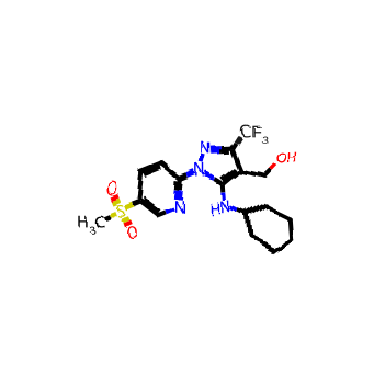 CS(=O)(=O)c1ccc(-n2nc(C(F)(F)F)c(CO)c2NC2CCCCC2)nc1